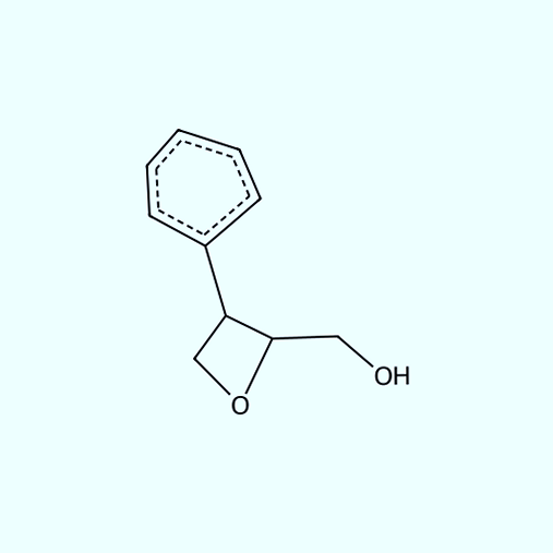 OCC1OCC1c1ccccc1